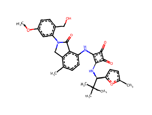 COc1ccc(CO)c(N2Cc3c(C)ccc(Nc4c(N[C@@H](c5ccc(C)o5)C(C)(C)C)c(=O)c4=O)c3C2=O)c1